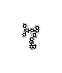 c1ccc(-c2nc(-c3ccccc3)nc(-c3ccc(-c4c(-c5ccc(-c6ccc7oc(-c8cccc9ccccc89)nc7c6)cc5)ccc5ccccc45)cc3)n2)cc1